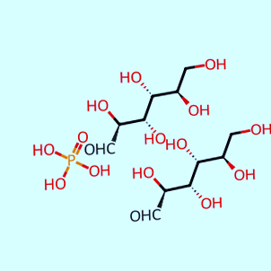 O=C[C@@H](O)[C@@H](O)[C@H](O)[C@H](O)CO.O=C[C@@H](O)[C@@H](O)[C@H](O)[C@H](O)CO.O=P(O)(O)O